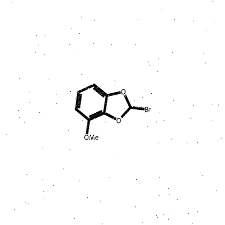 COc1cccc2c1OC(Br)O2